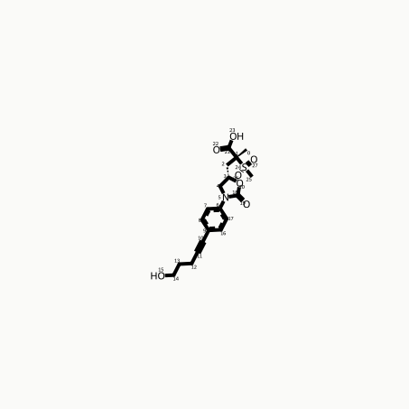 C[C@@](C[C@H]1CN(c2ccc(C#CCCCO)cc2)C(=O)O1)(C(=O)O)S(C)(=O)=O